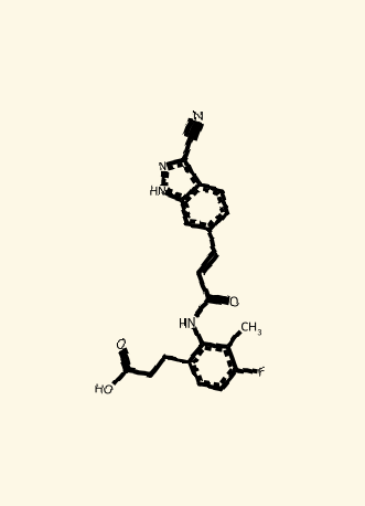 Cc1c(F)ccc(CCC(=O)O)c1NC(=O)C=Cc1ccc2c(C#N)n[nH]c2c1